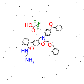 NCCNC(=O)c1ccccc1-c1cccc(CN(C(=O)COCc2ccccc2)c2ccc(C(=O)c3ccccc3)cc2)c1.O=C(O)C(F)(F)F